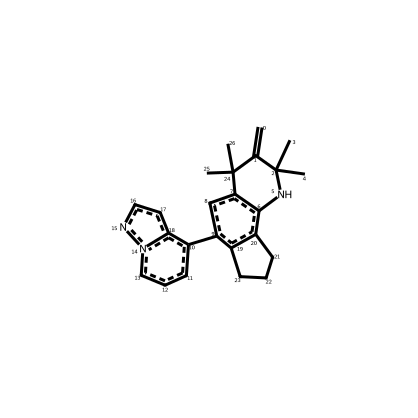 C=C1C(C)(C)Nc2c(cc(-c3cccn4nccc34)c3c2CCC3)C1(C)C